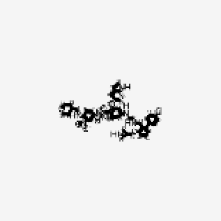 O=C(NS(=O)(=O)c1ccc(NCC2CCOCC2)c([N+](=O)[O-])c1)c1ccc(NCCNCc2c(OCC3CNC3)cccc2-c2ccc(Cl)cc2)cc1Oc1cnc2[nH]ccc2c1